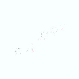 CS(=O)(=O)c1ccc(-c2ccc3c(c2)CC(CNC(=O)C=Cc2ccncc2)O3)cc1